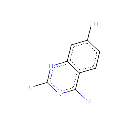 Cc1ccc2c(N)nc(C)nc2c1